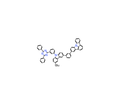 CC(C)(C)c1ccc2c(c1)c1cc(-c3cccc(-c4ccc5c(c4)c4cccc6c7ccccc7n5c64)c3)ccc1n2-c1cccc(-c2nc(-c3ccccc3)nc(-c3ccccc3)n2)c1